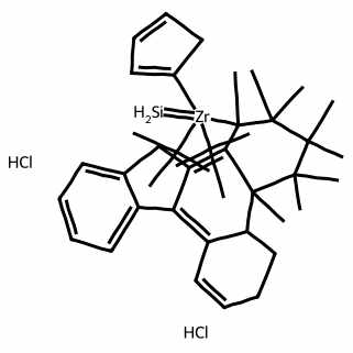 CC12C(=C3Cc4ccccc4C3=C3C=CCCC31)[C](C)([Zr](=[SiH2])([C]1=CC=CC1)([C](C)(C)C)[C](C)(C)C)C(C)(C)C(C)(C)C2(C)C.Cl.Cl